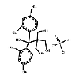 CC(C)(C)c1ccc(C(O)(c2ccc(C(C)(C)C)cc2C(C)(C)C)C(CO)(CO)CO)c(C(C)(C)C)c1.O=P(O)(O)O